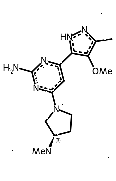 CN[C@@H]1CCN(c2cc(-c3[nH]nc(C)c3OC)nc(N)n2)C1